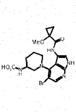 COC1(C(=O)Nc2c[nH]c3ncc(Br)c(N4CCCC(NC(=O)O)C4)c23)CC1